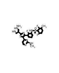 CNc1nccc(-c2sc(/C(C=N)=C/NN)nc2-c2cccc(NS(=O)(=O)c3c(F)ccc(C)c3F)c2F)n1